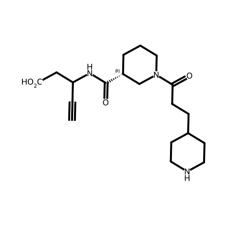 C#CC(CC(=O)O)NC(=O)[C@@H]1CCCN(C(=O)CCC2CCNCC2)C1